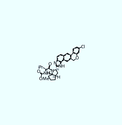 COC(=O)N[C@H](C(=O)N1[C@H](c2nc3ccc4cc5c(cc4c3[nH]2)COc2cc(Cl)ccc2-5)C[C@@H]2CCC[C@@H]21)C(C)C